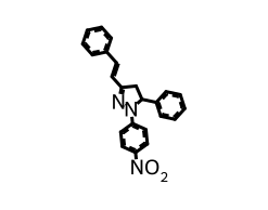 O=[N+]([O-])c1ccc(N2N=C(C=Cc3ccccc3)CC2c2ccccc2)cc1